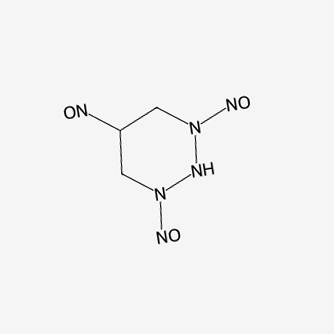 O=NC1CN(N=O)NN(N=O)C1